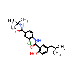 CC(C)Cc1ccc(O)c(C(=O)Nc2ccc(C(=O)NC(C)(C)C)cc2Cl)c1